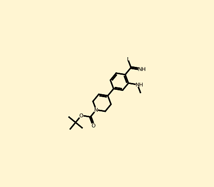 CNc1cc(C2=CCN(C(=O)OC(C)(C)C)CC2)ccc1C(=N)I